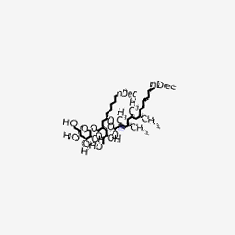 CCCCCCCCCCCCCCCC[C@H](C)C[C@H](C)C[C@H](C)/C=C(\C)C(=O)OC1C(O)C(CO)OC(OC2OC(CO)C(O)C(O)C2O)C1CC(=O)CCCCCCCCCCCCCCC